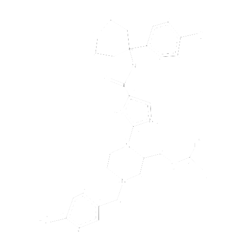 O=C(NC1(c2ccc(Br)cc2)CCOCC1)c1cnc(N2CCN(Cc3ccc(C(F)(F)F)cc3)CC2COC(F)F)s1